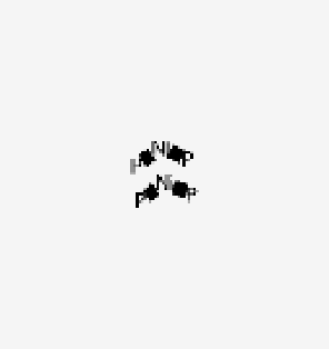 [P]#[Ni]#[P].[P]#[Ni]#[P]